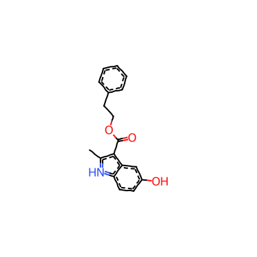 Cc1[nH]c2ccc(O)cc2c1C(=O)OCCc1ccccc1